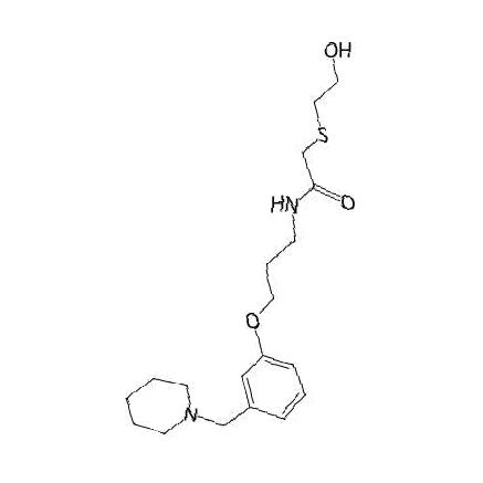 O=C(CSCCO)NCCCOc1cccc(CN2CCCCC2)c1